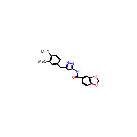 COc1ccc(CC2=NN=C(NC(=O)c3ccc4c(c3)OCO4)C2)cc1OC